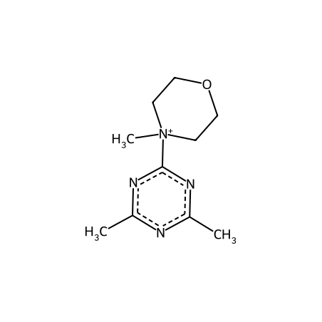 Cc1nc(C)nc([N+]2(C)CCOCC2)n1